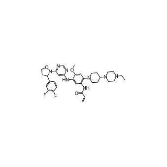 C=CC(=O)Nc1cc(Nc2cc(N3OCCC3c3ccc(F)c(F)c3)ncn2)c(OC)cc1N1CCC(N2CCN(CC)CC2)CC1